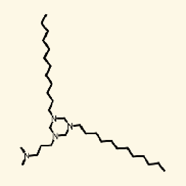 CCCCCCCCCCCCN1CN(CCCCCCCCCCCC)CN(CCCN(C)C)C1